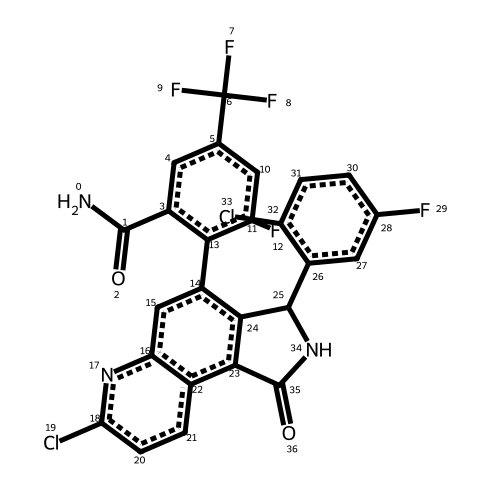 NC(=O)c1cc(C(F)(F)F)cc(F)c1-c1cc2nc(Cl)ccc2c2c1C(c1cc(F)ccc1Cl)NC2=O